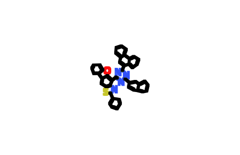 c1ccc(-c2nc3c(-c4nc(-c5ccc6ccccc6c5)nc(-c5cc6ccccc6c6ccccc56)n4)c4oc5ccccc5c4cc3s2)cc1